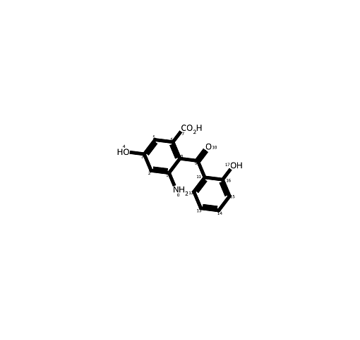 Nc1cc(O)cc(C(=O)O)c1C(=O)c1ccccc1O